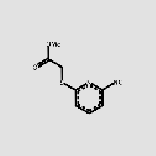 [C-]#[N+]c1cccc(SCC(=O)OC)n1